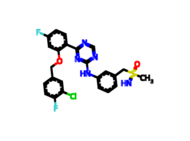 CS(=N)(=O)Cc1cccc(Nc2ncnc(-c3ccc(F)cc3OCc3ccc(F)c(Cl)c3)n2)c1